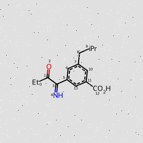 CCC(=O)C(=N)c1cc(CC(C)C)cc(C(=O)O)c1